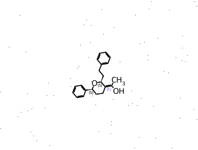 C/C(O)=C1/CC[C@@H](c2ccccc2)O[C@H]1CCc1ccccc1